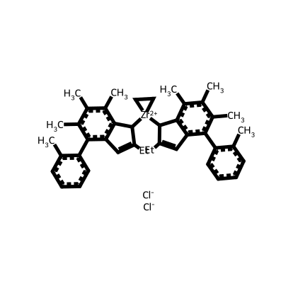 CCC1=Cc2c(-c3ccccc3C)c(C)c(C)c(C)c2[CH]1[Zr+2]1([CH]2C(CC)=Cc3c(-c4ccccc4C)c(C)c(C)c(C)c32)[CH2][CH2]1.[Cl-].[Cl-]